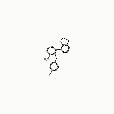 Nc1cccc(-c2cccc3c2NCC3)c1Cc1ccc(F)cc1